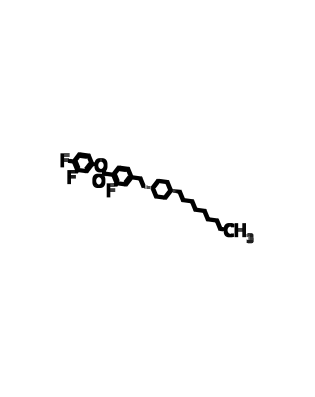 CCCCCCCCC[C@H]1CC[C@H](CCc2ccc(C(=O)Oc3ccc(F)c(F)c3)c(F)c2)CC1